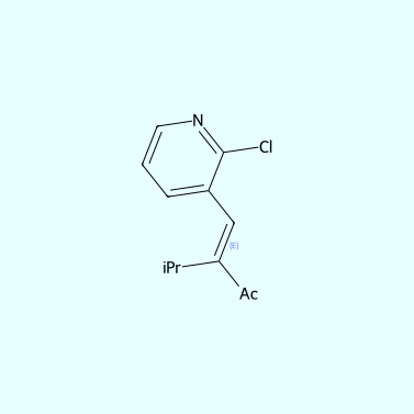 CC(=O)/C(=C/c1cccnc1Cl)C(C)C